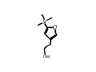 C[Si](C)(C)c1cc(CCO)co1